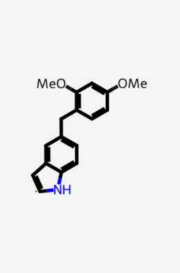 COc1ccc(Cc2ccc3[nH][c]cc3c2)c(OC)c1